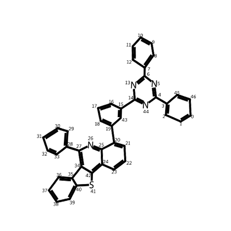 c1ccc(-c2nc(-c3ccccc3)nc(-c3cccc(-c4cccc5c4nc(-c4ccccc4)c4c6ccccc6sc54)c3)n2)cc1